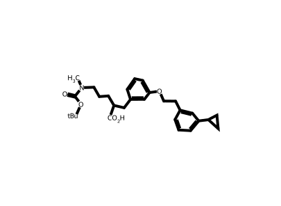 CN(CCCC(Cc1cccc(OCCc2cccc(C3CC3)c2)c1)C(=O)O)C(=O)OC(C)(C)C